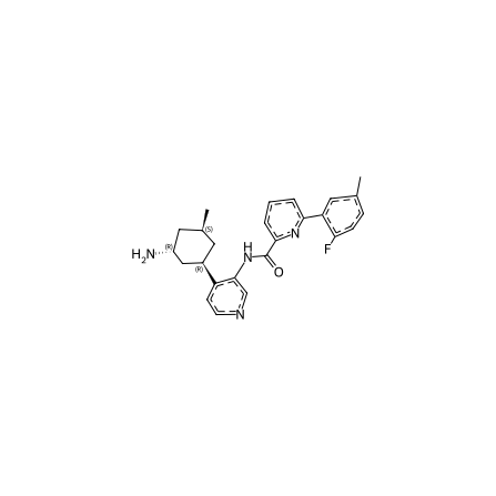 Cc1ccc(F)c(-c2cccc(C(=O)Nc3cnccc3[C@@H]3C[C@H](C)C[C@@H](N)C3)n2)c1